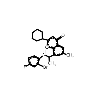 Cc1cc(C(C)Nc2ccc(F)cc2Br)c2oc(C3CCCCC3)cc(=O)c2c1